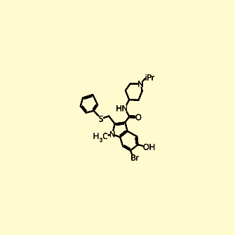 CC(C)N1CCC(NC(=O)c2c(CSc3ccccc3)n(C)c3cc(Br)c(O)cc23)CC1